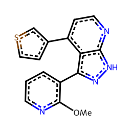 COc1ncccc1-c1n[nH]c2nccc(-c3ccsc3)c12